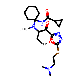 CC(C)CC(C(=O)c1nnc(SCCN(C)C)o1)N(C=O)C1(NC(=O)C2CC2)CCCCC1